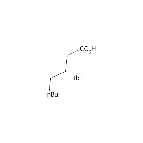 CCCCCCCC(=O)O.[Tb]